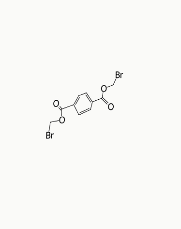 O=C(OCBr)c1ccc(C(=O)OCBr)cc1